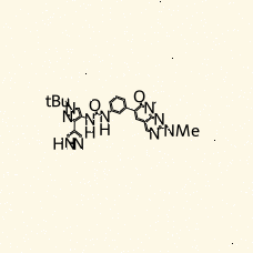 CNc1ncc2cc(-c3cccc(NC(=O)Nc4cn(C(C)(C)C)nc4-c4cn[nH]c4)c3)c(=O)n(C)c2n1